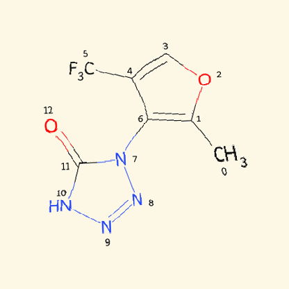 Cc1occ(C(F)(F)F)c1-n1nn[nH]c1=O